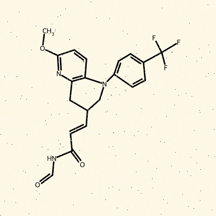 COc1ccc2c(n1)CC(C=CC(=O)NC=O)CN2c1ccc(C(F)(F)F)cc1